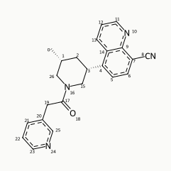 C[C@@H]1C[C@H](c2ccc(C#N)c3ncccc23)CN(C(=O)Cc2cccnc2)C1